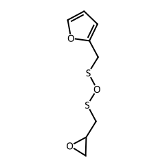 c1coc(CSOSCC2CO2)c1